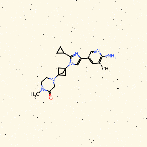 Cc1cc(-c2cn(C34CC(N5CCN(C)C(=O)C5)(C3)C4)c(C3CC3)n2)cnc1N